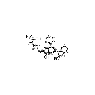 CCc1nc2ccccc2n1-c1nc(N2CCOCC2)c2nc(OC3CN(C(=O)[C@H](C)O)C3)n(C)c2n1